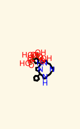 O=S(=O)(O)c1cc(-c2c3nc(c(-c4ccccc4)c4ccc(cc5nc(cc6ccc2[nH]6)C=C5)[nH]4)C=C3)c(S(=O)(=O)O)c(S(=O)(=O)O)c1S(=O)(=O)O